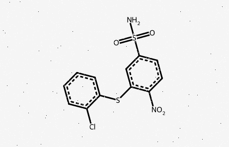 NS(=O)(=O)c1ccc([N+](=O)[O-])c(Sc2ccccc2Cl)c1